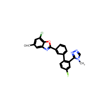 Cn1cnnc1-c1cc(F)ccc1-c1cccc(-c2nc3cc(C=O)cc(Cl)c3o2)c1